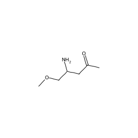 COCC(N)CC(C)=O